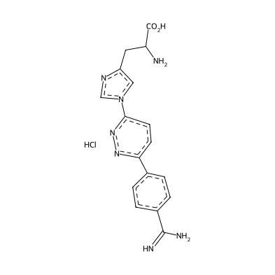 Cl.N=C(N)c1ccc(-c2ccc(-n3cnc(CC(N)C(=O)O)c3)nn2)cc1